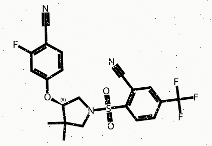 CC1(C)CN(S(=O)(=O)c2ccc(C(F)(F)F)cc2C#N)C[C@@H]1Oc1ccc(C#N)c(F)c1